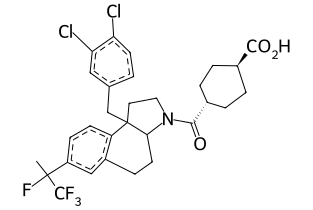 CC(F)(c1ccc2c(c1)CCC1N(C(=O)[C@H]3CC[C@H](C(=O)O)CC3)CCC21Cc1ccc(Cl)c(Cl)c1)C(F)(F)F